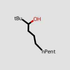 CCCCCCCCC(O)C(C)(C)C